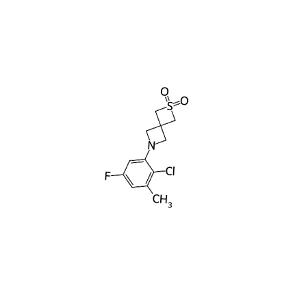 Cc1cc(F)cc(N2CC3(C2)CS(=O)(=O)C3)c1Cl